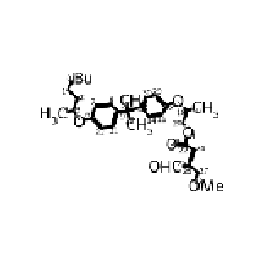 CCC(C)CCC(C)Oc1ccc(C(C)(C)c2ccc(OC(C)COC(=O)/C=C(\C=O)COC)cc2)cc1